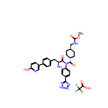 CC(C)(C)OC(=O)NC[C@H]1CC[C@H](C(=O)N(C(=O)[C@@H](N)Cc2ccc(-c3ccc(O)nc3)cc2)c2ccc(-c3nn[nH]n3)cc2)CC1.O=C(O)C(F)(F)F